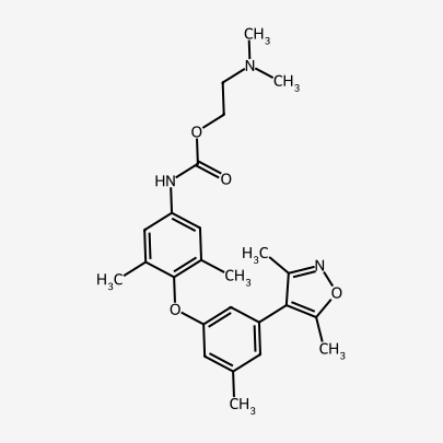 Cc1cc(Oc2c(C)cc(NC(=O)OCCN(C)C)cc2C)cc(-c2c(C)noc2C)c1